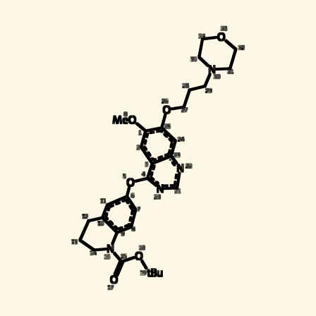 COc1cc2c(Oc3ccc4c(c3)CCCN4C(=O)OC(C)(C)C)ncnc2cc1OCCCN1CCOCC1